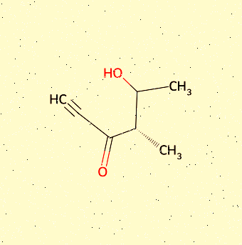 C#CC(=O)[C@@H](C)C(C)O